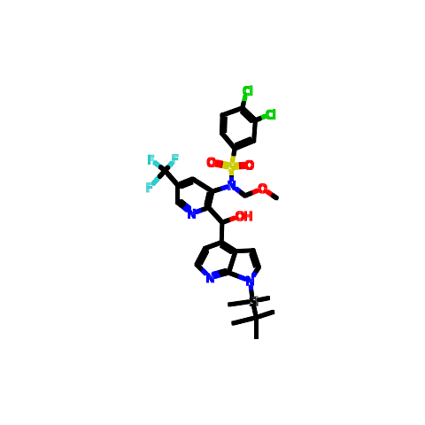 COCN(c1cc(C(F)(F)F)cnc1C(O)c1ccnc2c1ccn2[Si](C)(C)C(C)(C)C)S(=O)(=O)c1ccc(Cl)c(Cl)c1